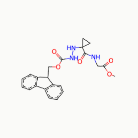 COC(=O)CNC(=O)C1(NNC(=O)OCC2c3ccccc3-c3ccccc32)CC1